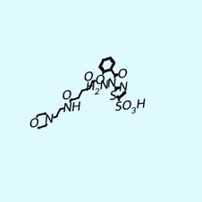 NN(C(=O)c1ccccc1OC(=O)CCCC(=O)NCCN1CCOCC1)c1ncc(S(=O)(=O)O)s1